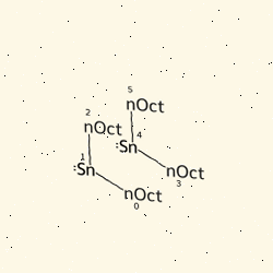 CCCCCCC[CH2][Sn][CH2]CCCCCCC.CCCCCCC[CH2][Sn][CH2]CCCCCCC